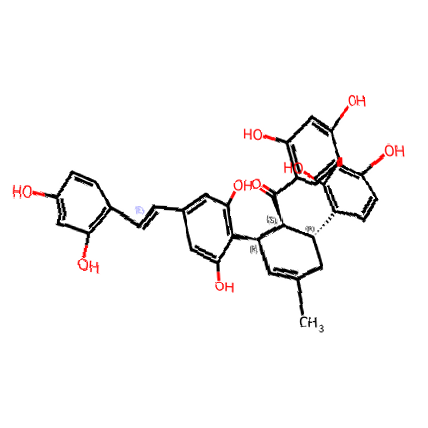 CC1=C[C@@H](c2c(O)cc(/C=C/c3ccc(O)cc3O)cc2O)[C@@H](C(=O)c2ccc(O)cc2O)[C@H](c2ccc(O)cc2O)C1